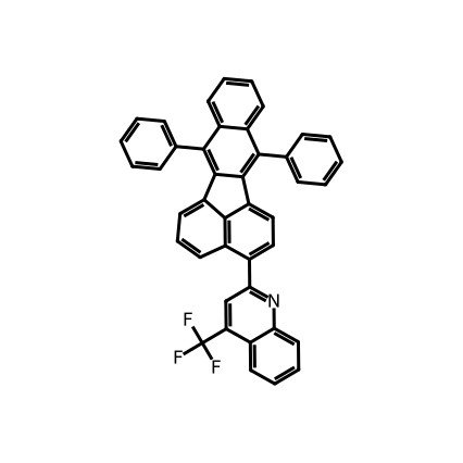 FC(F)(F)c1cc(-c2ccc3c4c(cccc24)-c2c-3c(-c3ccccc3)c3ccccc3c2-c2ccccc2)nc2ccccc12